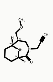 C#CCN1C[C@H](COC)[C@H]2CCC[C@H](N2)C1=O